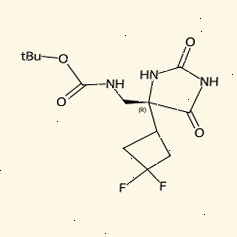 CC(C)(C)OC(=O)NC[C@@]1(C2CC(F)(F)C2)NC(=O)NC1=O